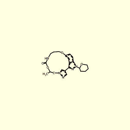 CC1Cn2cc(cn2)-c2nn(C3CCCCO3)c3ccc(cc23)OCCCNC(=O)O1